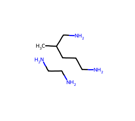 CC(CN)CCCN.NCCN